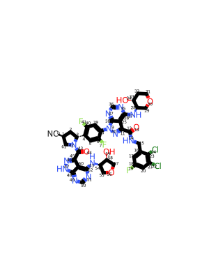 N#C[C@H]1C[C@H](c2cc(F)c(-n3nc(C(=O)NCc4cc(F)cc(Cl)c4Cl)c4c(N[C@@H]5COCC[C@H]5O)ncnc43)cc2F)N(C(=O)c2n[nH]c3ncnc(N[C@@H]4COC[C@H]4O)c23)C1